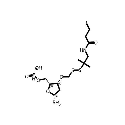 B[C@H]1C[C@@H](OCSSC(C)(C)CNC(=O)CCI)[C@@H](CO[PH](=O)O)O1